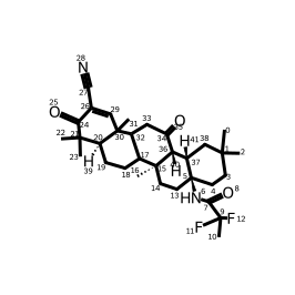 CC1(C)CC[C@]2(NC(=O)C(C)(F)F)CC[C@@]3(C)C4CC[C@H]5C(C)(C)C(=O)C(C#N)=CC5(C)C4CC(=O)[C@@H]3[C@@H]2C1